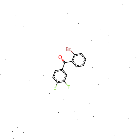 O=C(c1ccc(F)c(F)c1)c1ccccc1Br